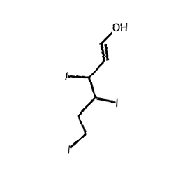 OC=CC(I)C(I)CCI